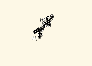 CC(=O)OCC1=C(C(=O)O)N2C(=O)[C@@H](NC(=O)CNOC3c4ccc5ccccc5c4C3c3csc(N)n3)[C@@H]2SC1